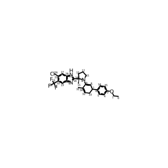 CCOc1ccc(C2[C]=C(N3CCC[C@@]3(C)c3nc4cc(C(F)(F)F)c(Cl)cc4[nH]3)C(C)=CC2)cc1